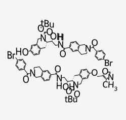 CC(C)(C)OC(=O)N1Cc2cc(O)ccc2C[C@H]1[C@H](O)CNC(=O)c1ccc2c(c1)CCN(C(=O)c1ccc(Br)cc1)C2.Cc1ncoc1COc1ccc2c(c1)CN(C(=O)OC(C)(C)C)[C@H]([C@H](O)CNC(=O)c1ccc3c(c1)CCN(C(=O)c1ccc(Br)cc1)C3)C2